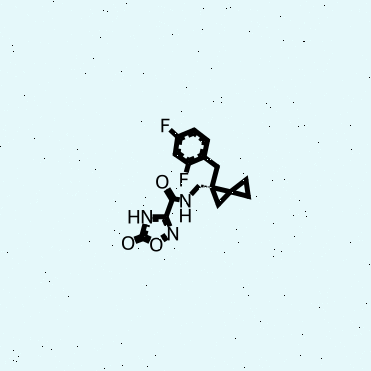 O=C(NC[C@@]1(Cc2ccc(F)cc2F)CC12CC2)c1noc(=O)[nH]1